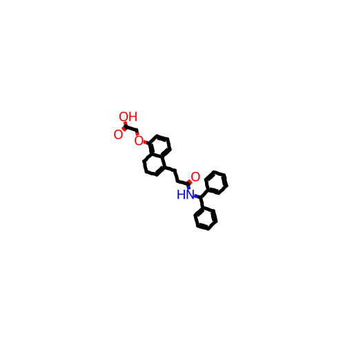 O=C(O)COc1cccc2c1CCC=C2CCC(=O)NC(c1ccccc1)c1ccccc1